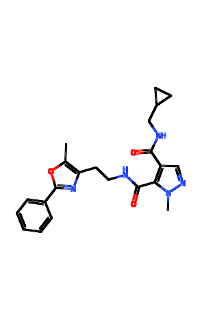 Cc1oc(-c2ccccc2)nc1CCNC(=O)c1c(C(=O)NCC2CC2)cnn1C